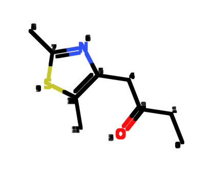 CCC(=O)Cc1nc(C)sc1C